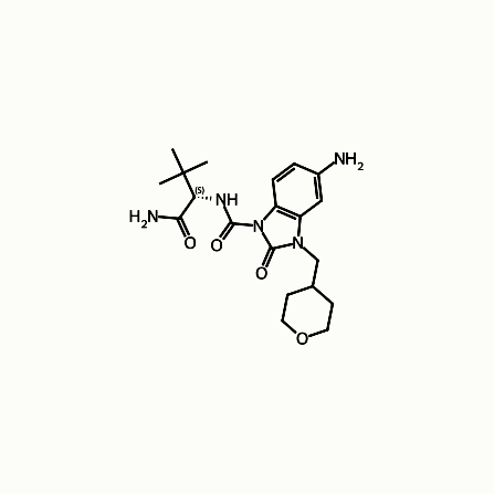 CC(C)(C)[C@H](NC(=O)n1c(=O)n(CC2CCOCC2)c2cc(N)ccc21)C(N)=O